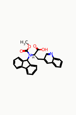 COC(=O)N(C1c2ccccc2-c2ccccc21)[C@H](Cc1cnc2ccccc2c1)C(=O)O